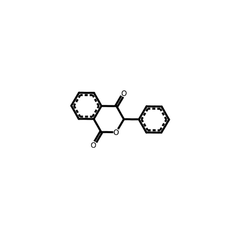 O=C1OC(c2ccccc2)C(=O)c2ccccc21